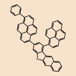 c1ccc(-c2ccc3ccc4c(-c5cc(-c6ccc7ccc8cccc9ccc6c7c89)c6c(c5)oc5cc7ccccc7cc56)ccc5ccc2c3c54)cc1